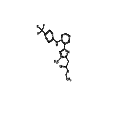 CCOC(=O)Cc1nc(-c2ccccc2Nc2ccc(C(F)(F)F)cc2)nn1C